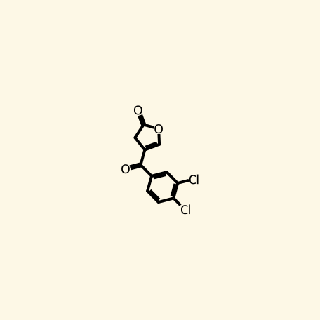 O=C1CC(C(=O)c2ccc(Cl)c(Cl)c2)=CO1